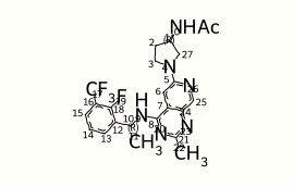 CC(=O)N[C@@H]1CCN(c2cc3c(N[C@H](C)c4cccc(C(F)(F)F)c4F)nc(C)nc3cn2)C1